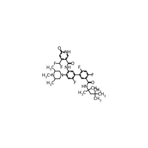 CC1CN(c2cc(F)c(-c3cc(C(=O)NC(C)(C)CC(C)(C)C)c(F)cc3F)cc2NC(=O)c2c[nH]c(=O)cc2C(F)F)CC(C)N1C